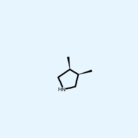 C[C@@H]1CNC[C@@H]1C